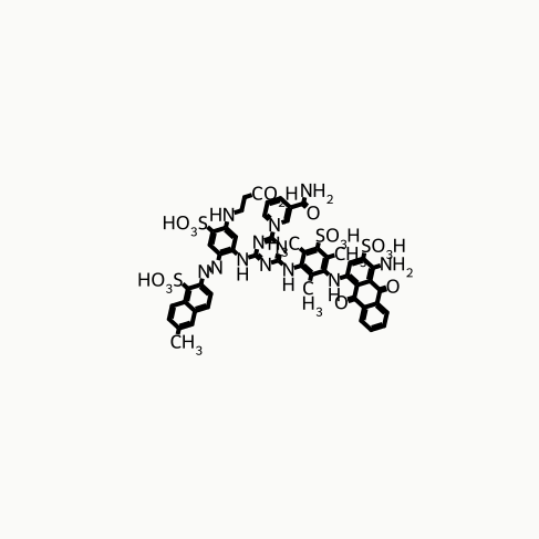 Cc1ccc2c(S(=O)(=O)O)c(N=Nc3cc(S(=O)(=O)O)c(NCCC(=O)O)cc3Nc3nc(Nc4c(C)c(Nc5cc(S(=O)(=O)O)c(N)c6c5C(=O)c5ccccc5C6=O)c(C)c(S(=O)(=O)O)c4C)nc(-[n+]4cccc(C(N)=O)c4)n3)ccc2c1